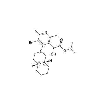 Cc1nc(C)c(C(O)C(=O)OC(C)C)c(N2CC[C@H]3CCCC[C@H]3C2)c1Br